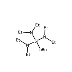 CCCC[Si](N(CC)CC)(N(CC)CC)N(CC)CC